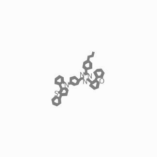 CCCc1ccc(-c2nc(-c3ccc(-n4c5ccccc5c5c6sc7ccccc7c6ccc54)cc3)nc(-c3cccc4oc5ccccc5c34)n2)cc1